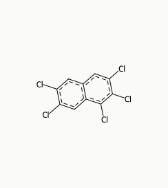 Clc1cc2cc(Cl)c(Cl)c(Cl)c2cc1Cl